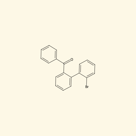 O=C(c1ccccc1)c1ccccc1-c1ccccc1Br